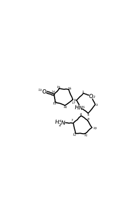 C1COCCN1.NC1CCCCC1.O=C1CCCCC1